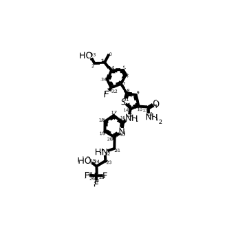 CC(CO)c1ccc(-c2cc(C(N)=O)c(Nc3cccc(CNCC(O)C(F)(F)F)n3)s2)c(F)c1